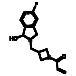 C=CC(=O)N1CC(CN2Cc3cc(F)ccc3C2O)C1